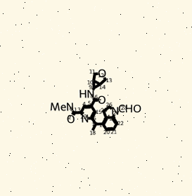 CNC(=O)c1cc(C(=O)NC2C3COCC32)cc(C(C)c2cccc3c2CCN3C=O)n1